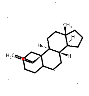 C=C=C[C@]12CCCCC1CC[C@H]1[C@@H]3CCC[C@@]3(C)CC[C@@H]12